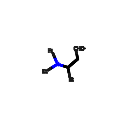 CCC(C[C]=O)N(CC)CC